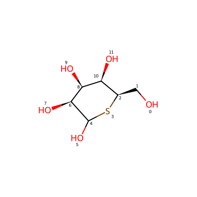 OC[C@H]1SC(O)[C@@H](O)[C@@H](O)[C@H]1O